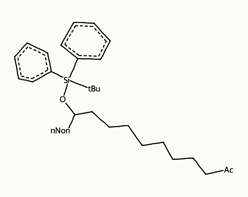 CCCCCCCCCC(CCCCCCCCC(C)=O)O[Si](c1ccccc1)(c1ccccc1)C(C)(C)C